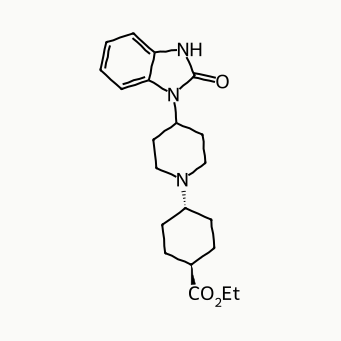 CCOC(=O)[C@H]1CC[C@H](N2CCC(n3c(=O)[nH]c4ccccc43)CC2)CC1